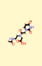 CC(=O)NCCN(CC(=O)O)C(=O)Cn1ccc(=O)[nH]c1=O